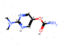 CN(C)c1ncc(OC(N)=O)cn1